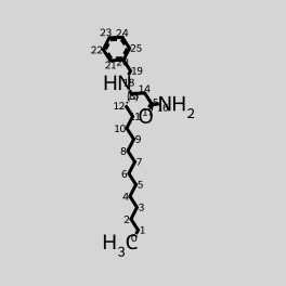 CCCCCCCCCCCCC[C@@H](CC(N)=O)NCc1ccccc1